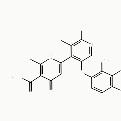 COC(=O)c1c(C)[nH]c(-c2c(Oc3ccc(F)c(F)c3OC)cnc(C(F)(F)F)c2C)cc1=O